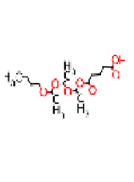 CCCCOC(C)OC(C)OC(C)OC(=O)CCCC(=O)O